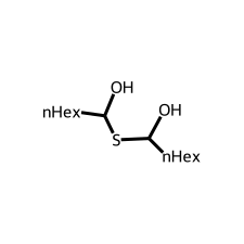 CCCCCCC(O)SC(O)CCCCCC